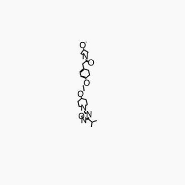 COC1CN(C(=O)CC2=CC=C(OCCOC3CCN(c4nc(C(C)C)no4)CC3)CC2)C1